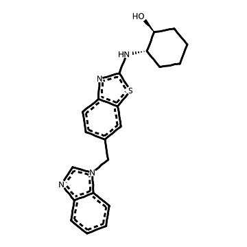 O[C@H]1CCCC[C@@H]1Nc1nc2ccc(Cn3cnc4ccccc43)cc2s1